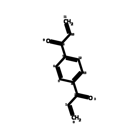 C=CC(=O)c1ccc(C(=O)C=C)cc1